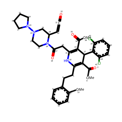 COC(=O)C1=C(CCc2ccccc2OC)NC(CC(=O)N2CCN(N3CCCC3)CC2C=C=O)=C(C(=O)OC)C1c1c(Cl)cccc1Cl